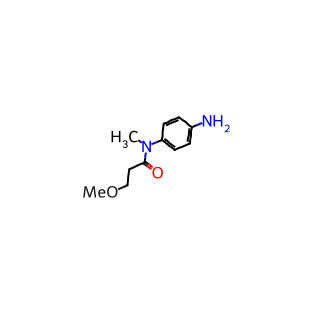 COCCC(=O)N(C)c1ccc(N)cc1